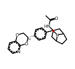 CC(=O)NC1CC2CCC(C1)N2Cc1ccc([C@H]2COc3cccnc3O2)cc1